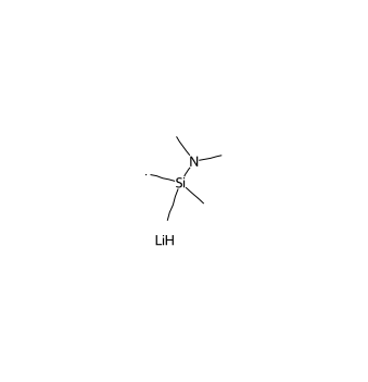 [CH2][Si](C)(C)N(C)C.[LiH]